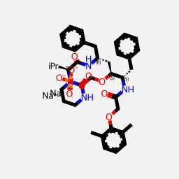 Cc1cccc(C)c1OCC(=O)N[C@@H](Cc1ccccc1)[C@H](C[C@@H](Cc1ccccc1)NC(=O)[C@H](C(C)C)N1CCCNC1=O)OCOP(=O)([O-])[O-].[Na+].[Na+]